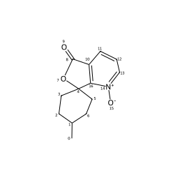 CC1CCC2(CC1)OC(=O)c1ccc[n+]([O-])c12